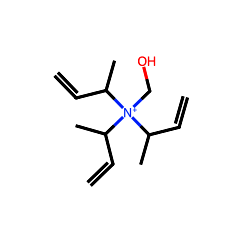 C=CC(C)[N+](CO)(C(C)C=C)C(C)C=C